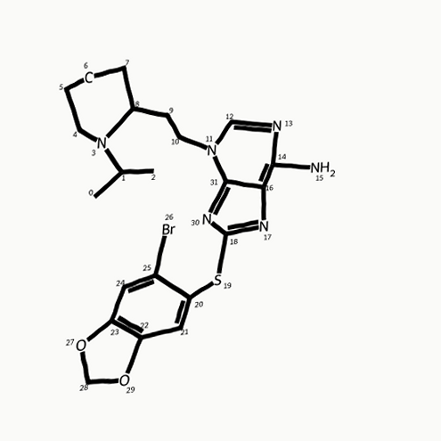 CC(C)N1CCCCC1CCn1cnc(N)c2nc(Sc3cc4c(cc3Br)OCO4)nc1-2